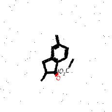 CC(=O)O.Cc1ccc2c(c1)CC(C)C2=O